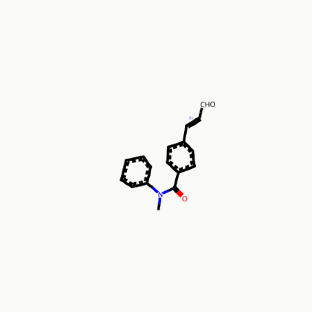 CN(C(=O)c1ccc(/C=C/C=O)cc1)c1ccccc1